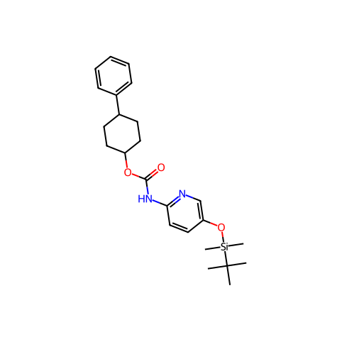 CC(C)(C)[Si](C)(C)Oc1ccc(NC(=O)OC2CCC(c3ccccc3)CC2)nc1